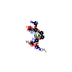 C/N=C/c1cncc(COc2cc(OCc3cccc(-c4cccc(COc5cc(OCc6cncc(C#N)c6)c(CN[C@@](C)(CO)C(=O)O)cc5Cl)c4C)c3C)c(Cl)cc2CNC(C)(CO)C(=O)O)c1